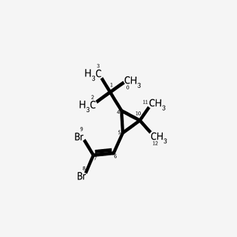 CC(C)(C)C1C(C=C(Br)Br)C1(C)C